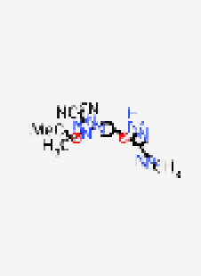 COC[C@@H](C)Oc1nc(C(C#N)C#N)nc(N2CCC(COc3cc(-c4cn(C)cn4)cnc3N)CC2)n1